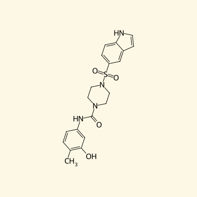 Cc1ccc(NC(=O)N2CCN(S(=O)(=O)c3ccc4[nH]ccc4c3)CC2)cc1O